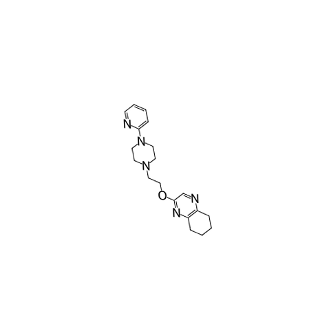 c1ccc(N2CCN(CCOc3cnc4c(n3)CCCC4)CC2)nc1